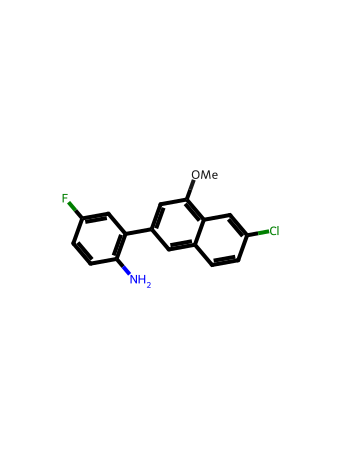 COc1cc(-c2cc(F)ccc2N)cc2ccc(Cl)cc12